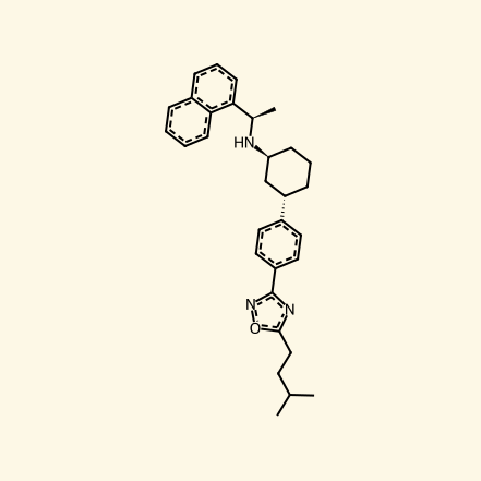 CC(C)CCc1nc(-c2ccc([C@H]3CCC[C@H](N[C@H](C)c4cccc5ccccc45)C3)cc2)no1